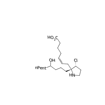 CCCCCC(O)CCC[C@]1(C/C=C\CCCC(=O)O)NCC[C@H]1Cl